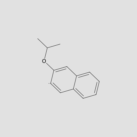 CC(C)Oc1[c]cc2ccccc2c1